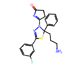 NCCCC1(c2ccccc2)SC(c2cccc(F)c2)=NN1C1=NC(=O)CC1